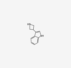 c1ccc2c(C3CNC3)c[nH]c2c1